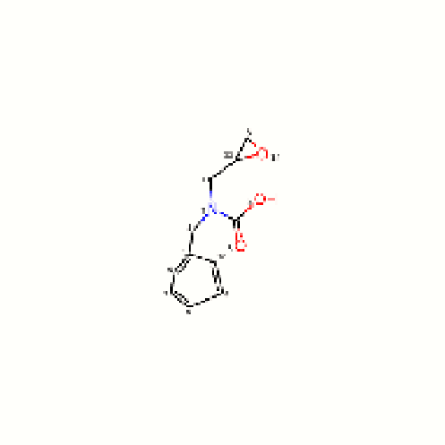 O=C(O)N(Cc1ccccc1)CC1CO1